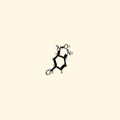 Clc1[c]c2nonc2cc1